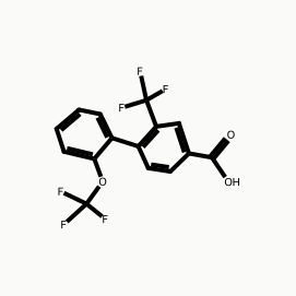 O=C(O)c1ccc(-c2ccccc2OC(F)(F)F)c(C(F)(F)F)c1